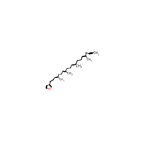 CC#CC/C(C)=C/CC/C(C)=C/CC/C(C)=C/CC/C(C)=C/CCc1ccoc1